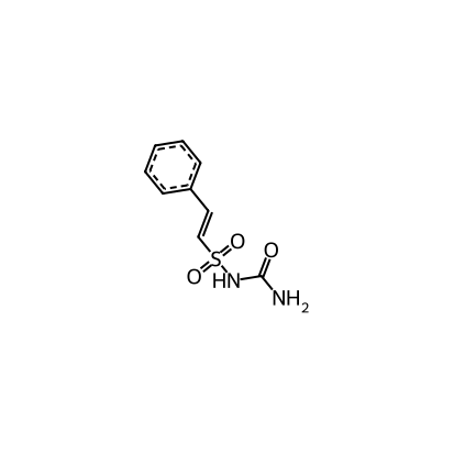 NC(=O)NS(=O)(=O)/C=C/c1ccccc1